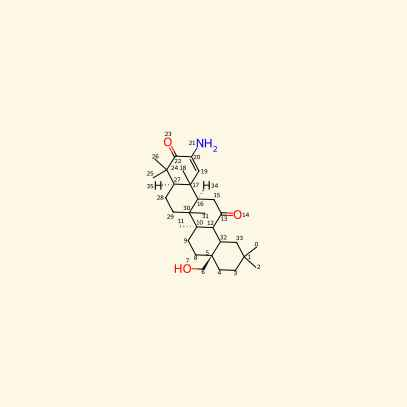 CC1(C)CC[C@]2(CO)CC[C@]3(C)C(C(=O)C[C@@H]4C5(C)C=C(N)C(=O)C(C)(C)[C@@H]5CCC43C)C2C1